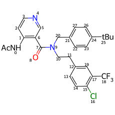 CC(=O)Nc1ccncc1C(=O)N(CCc1ccc(Cl)c(C(F)(F)F)c1)Cc1ccc(C(C)(C)C)cc1